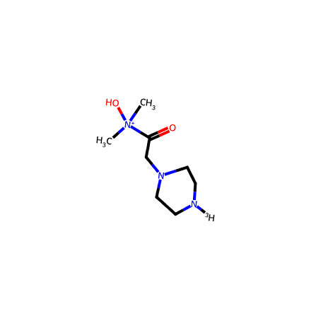 [3H]N1CCN(CC(=O)[N+](C)(C)O)CC1